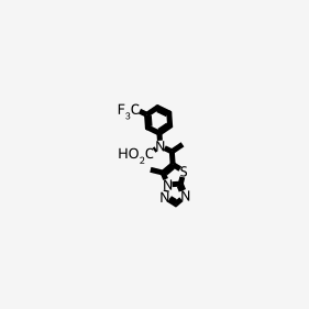 Cc1c(C(C)N(C(=O)O)c2cccc(C(F)(F)F)c2)sc2ncnn12